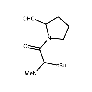 CNC(C(=O)N1CCCC1C=O)C(C)(C)C